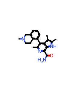 Cc1nc(C(N)=O)c2[nH]c(C)c(C)c2c1-c1cccc2c1CCN(C)C2